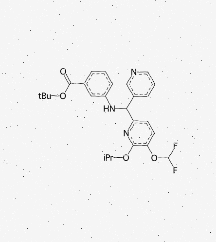 CC(C)Oc1nc(C(Nc2cccc(C(=O)OC(C)(C)C)c2)c2cccnc2)ccc1OC(F)F